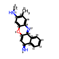 CCNc1cc2oc3cc(=N)c4ccccc4c-3nc2cc1C